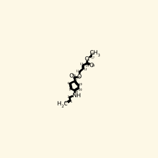 C=CCNc1ccc(C(=O)OCC=CC(=O)OCC)cc1